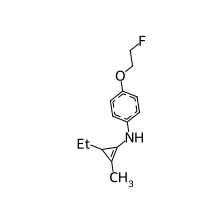 CCC1C(C)=C1Nc1ccc(OCCF)cc1